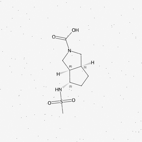 CS(=O)(=O)N[C@H]1CC[C@@H]2CN(C(=O)O)C[C@@H]21